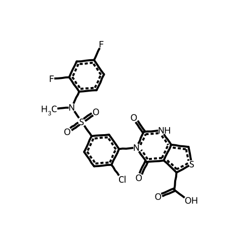 CN(c1ccc(F)cc1F)S(=O)(=O)c1ccc(Cl)c(-n2c(=O)[nH]c3csc(C(=O)O)c3c2=O)c1